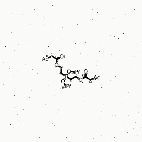 CC(=O)CC(=O)OC[CH2][Ti]([CH2]COC(=O)CC(C)=O)([O]C(C)C)[O]C(C)C